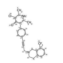 Cc1[nH]c(C)c(-c2ccc(C#CCN3CCc4cccc(C(F)(F)F)c4C3)cc2)c(=O)c1Cl